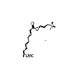 CCCCCCCCCCCCCCCCCC(=O)OCCC[N+](C)(C)C.[I-]